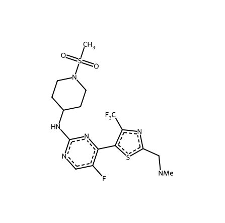 CNCc1nc(C(F)(F)F)c(-c2nc(NC3CCN(S(C)(=O)=O)CC3)ncc2F)s1